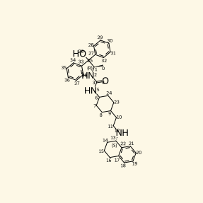 C[C@@H](NC(=O)NC1CCC(CCN[C@H]2CCCc3ccccc32)CC1)C(O)(c1ccccc1)c1ccccc1